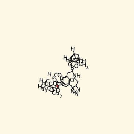 COc1c(CC(NC(=O)Cc2nnnn2CCNC(=O)OC(C)(C)C)B2O[C@@H]3C[C@@H]4C[C@@H](C4(C)C)[C@]3(C)O2)cccc1C(=O)OC(C)(C)C